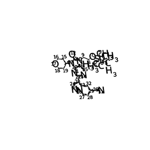 CC(C)(C)[Si](C)(C)OCCn1c(=O)n(C2CCOCC2)c2nc(-c3cnn4ccc(C#N)cc34)ncc21